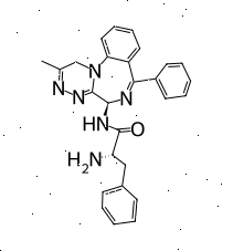 CC1=NN=C2[C@H](NC(=O)[C@@H](N)Cc3ccccc3)N=C(c3ccccc3)c3ccccc3N2C1